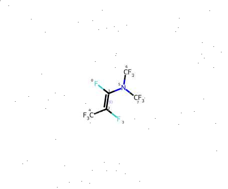 F/C(=C(/F)C(F)(F)F)N(C(F)(F)F)C(F)(F)F